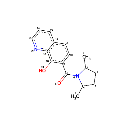 CC1CCC(C)N1C(=O)c1ccc2cccnc2c1O